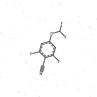 N#Cc1c(F)cc(OC(F)F)cc1F